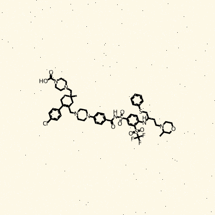 CC1COCCN1CCC(CSc1ccccc1)Nc1ccc(S(=O)(=O)NC(=O)c2ccc(N3CCN(CC4=C(c5ccc(Cl)cc5)CCC(C)(CN5CCN(C(=O)O)CC5)C4)CC3)cc2)cc1S(=O)(=O)C(F)(F)F